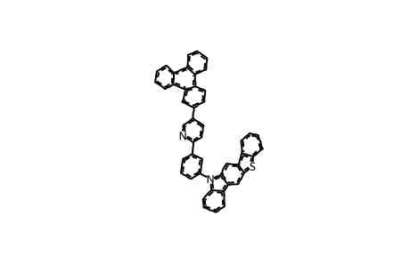 c1cc(-c2ccc(-c3ccc4c5ccccc5c5ccccc5c4c3)cn2)cc(-n2c3ccccc3c3cc4sc5ccccc5c4cc32)c1